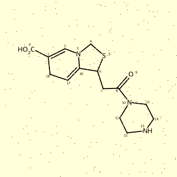 O=C(O)C1=CN2CSC(CC(=O)N3CCNCC3)C2=CC1